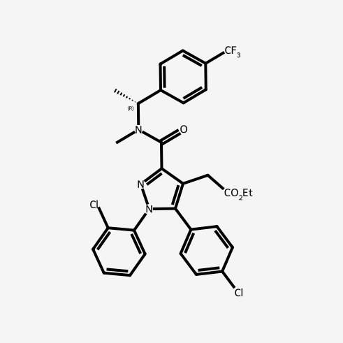 CCOC(=O)Cc1c(C(=O)N(C)[C@H](C)c2ccc(C(F)(F)F)cc2)nn(-c2ccccc2Cl)c1-c1ccc(Cl)cc1